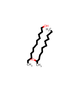 CCCCCCCCCCC(C)O.CCCCCCCCCCCCO